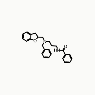 O=C(NCCCN(Cc1ccccc1)CC1Cc2ccccc2O1)c1ccccc1